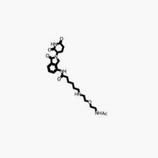 CC(=O)NCCOCCNCCCCCC(=O)Nc1cccc2c1CN(C1CCC(=O)NC1=O)C2=O